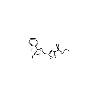 CCOC(=O)c1cc(COC(c2ccccc2)C(F)(F)F)on1